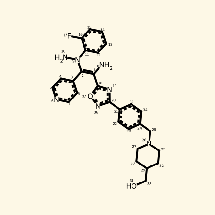 N/C(=C(/c1ccncc1)N(N)c1ccccc1F)c1nc(-c2ccc(CN3CCC(CO)CC3)cc2)no1